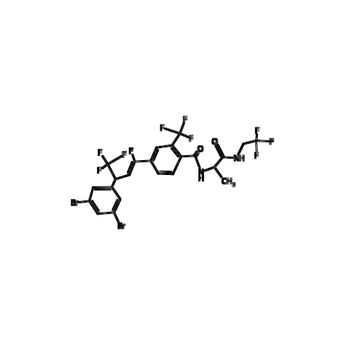 CC(NC(=O)c1ccc(/C(F)=C/C(c2cc(Br)cc(Br)c2)C(F)(F)F)cc1C(F)(F)F)C(=O)NCC(F)(F)F